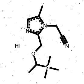 Cc1cnc(COC(C)[Si](C)(C)C)n1CC#N.I